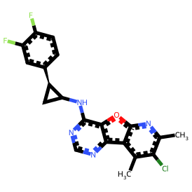 Cc1nc2oc3c(NC4C[C@H]4c4ccc(F)c(F)c4)ncnc3c2c(C)c1Cl